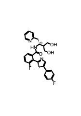 O=C(N[C@H](Cc1ccccn1)C(CO)CO)c1cccc(F)c1-c1ncc(-c2ccc(F)cc2)s1